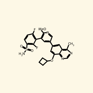 COc1ncc(-c2cc(OC3CCC3)c3ncnc(C)c3c2)cc1-c1c(F)ccc(S(N)(=O)=O)c1F